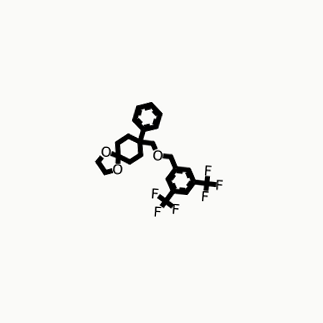 FC(F)(F)c1cc(COCC2(c3ccccc3)CCC3(CC2)OCCO3)cc(C(F)(F)F)c1